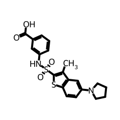 Cc1c(S(=O)(=O)Nc2cccc(C(=O)O)c2)sc2ccc(N3CCCC3)cc12